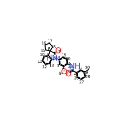 COc1cc(NC(=O)C2(c3ccccc3)CCCC2)ccc1NC(=O)c1cccc(C)c1